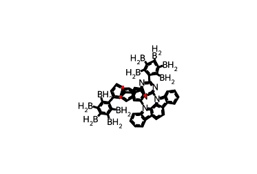 Bc1c(B)c(B)c(-c2cccc(-c3cccc(-n4c5ccccc5c5ccc6c7ccccc7n(-c7nc(-c8ccccc8)nc(-c8c(B)c(B)c(B)c(B)c8B)n7)c6c54)c3)c2)c(B)c1B